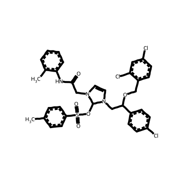 Cc1ccc(S(=O)(=O)OC2N(CC(=O)Nc3ccccc3C)C=CN2CC(OCc2ccc(Cl)cc2Cl)c2ccc(Cl)cc2)cc1